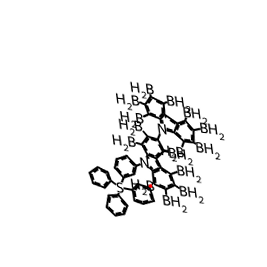 Bc1c(B)c(B)c2c(c1B)c1c(B)c(-n3c4c(B)c(B)c(B)c(B)c4c4c(B)c(B)c(B)c(B)c43)c(B)c(B)c1n2-c1cccc(S(c2ccccc2)(c2ccccc2)c2ccccc2)c1